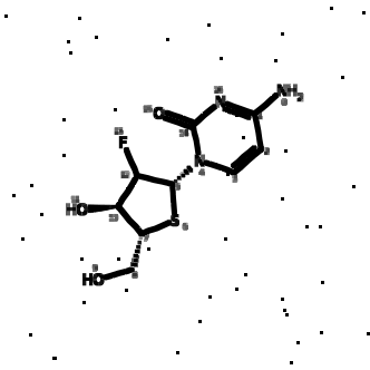 Nc1ccn([C@@H]2S[C@H](CO)[C@@H](O)C2F)c(=O)n1